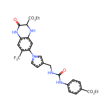 CCOC(=O)c1ccc(NC(=O)NCc2ccn(-c3cc4c(cc3C(F)(F)F)NC(=O)C(C(=O)OCC)N4)c2)cc1